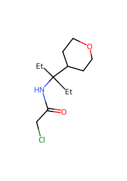 CCC(CC)(NC(=O)CCl)C1CCOCC1